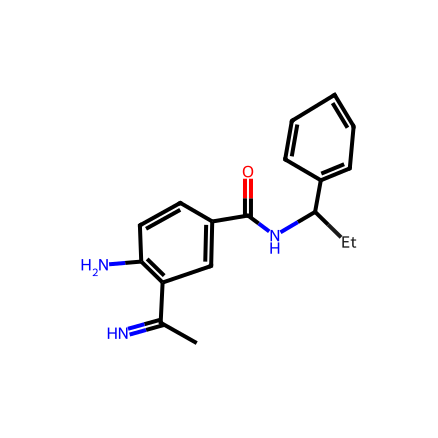 CCC(NC(=O)c1ccc(N)c(C(C)=N)c1)c1ccccc1